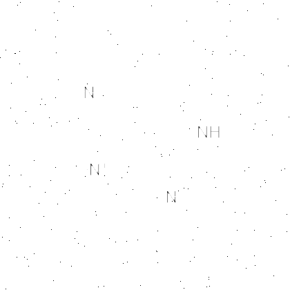 C1=NC=c2[nH]cnc2=[N+]1